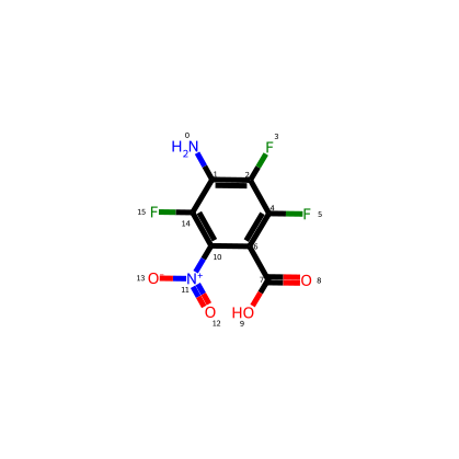 Nc1c(F)c(F)c(C(=O)O)c([N+](=O)[O-])c1F